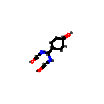 O=C=NC(N=C=O)C1CCC(=O)CC1